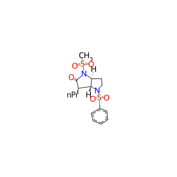 CCC[C@H]1C(=O)N(S(C)(=O)=O)[C@H]2CCN(S(=O)(=O)c3ccccc3)[C@H]12